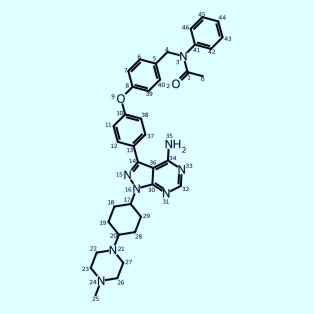 CC(=O)N(Cc1ccc(Oc2ccc(-c3nn(C4CCC(N5CCN(C)CC5)CC4)c4ncnc(N)c34)cc2)cc1)c1ccccc1